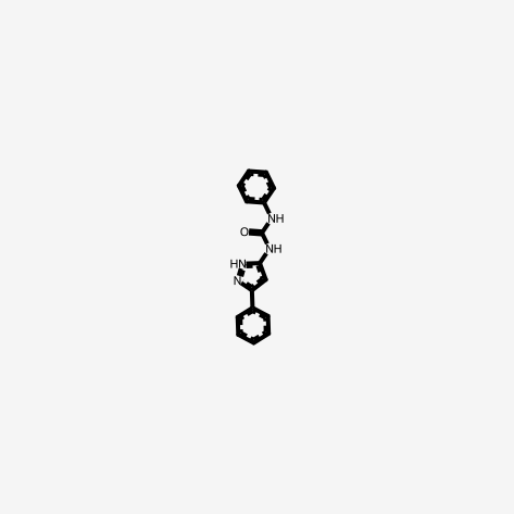 O=C(Nc1ccccc1)Nc1cc(-c2ccccc2)n[nH]1